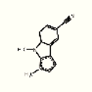 CN1c2c(ccn2C)C2=CC(C#N)=CCC21